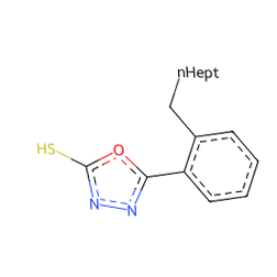 CCCCCCCCc1ccccc1-c1nnc(S)o1